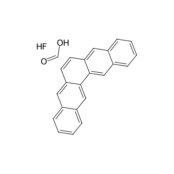 F.O=CO.c1ccc2cc3c(ccc4cc5ccccc5cc43)cc2c1